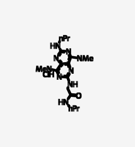 CCCNC(=O)CNc1nc(NC)c2nc(NCCC)nc(NC)c2n1.Cl